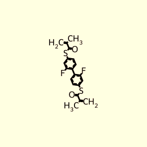 C=C(C)C(=O)Sc1ccc(-c2ccc(SC(=O)C(=C)C)cc2F)c(F)c1